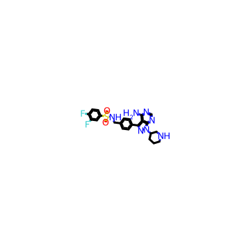 Nc1ncnc2c1c(-c1ccc(CNS(=O)(=O)c3ccc(F)c(F)c3)cc1)nn2C1CCCNC1